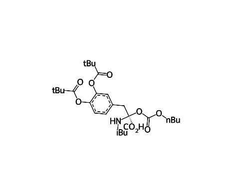 CCCCOC(=O)O[C@](Cc1ccc(OC(=O)C(C)(C)C)c(OC(=O)C(C)(C)C)c1)(NC(C)CC)C(=O)O